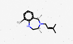 CC(C)=CCN1[C@H](C)CNc2c(cccc2[N+](=O)[O-])[C@@H]1C